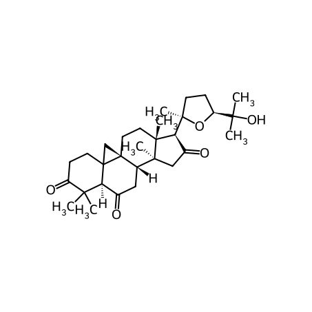 CC(C)(O)[C@@H]1CC[C@](C)([C@H]2C(=O)C[C@@]3(C)[C@@H]4CC(=O)[C@H]5C(C)(C)C(=O)CCC56C[C@@]46CC[C@]23C)O1